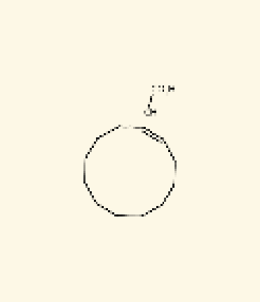 C1=CCCCCCCCCCC1.CC(=O)O